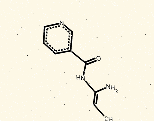 CC=C(N)NC(=O)c1cccnc1